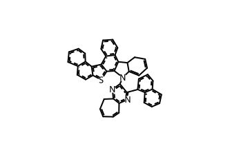 C1=CCc2nc(N3C4=CC=CCC4c4c3c3sc5ccc6ccccc6c5c3c3ccccc43)c(-c3cccc4ccccc34)nc2C=C1